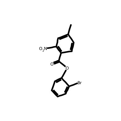 Cc1ccc(C(=O)Oc2ccccc2Br)c([N+](=O)[O-])c1